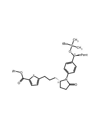 CCCCC[C@H](O[Si](C)(C)C(C)(C)C)c1ccc(N2C(=O)CC[C@@H]2CCCc2ccc(C(=O)OC(C)C)s2)cc1